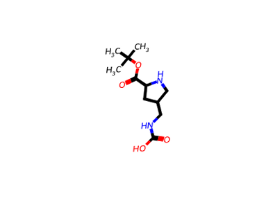 CC(C)(C)OC(=O)C1CC(CNC(=O)O)CN1